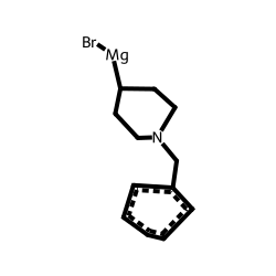 [Br][Mg][CH]1CCN(Cc2ccccc2)CC1